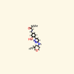 CCC[C@]1(C)COCC[C@H](N(C)c2ccc(-c3ccc(/C=C/C(=O)NC)cc3O)nn2)C1